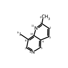 Cc1ccc2cncc(I)c2n1